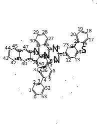 c1ccc(-c2ccc(-c3nc(-c4ccc5sc6ccccc6c5c4)nc(-c4ccccc4-n4c5ccccc5c5cc6ccccc6cc54)n3)cc2)cc1